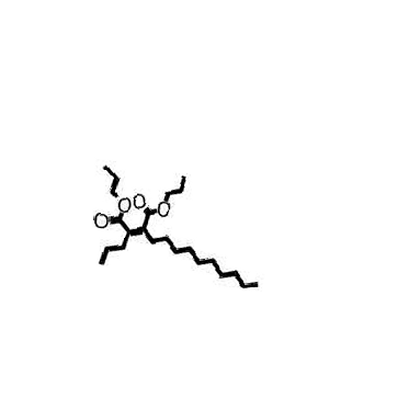 CCCCCCCCCC/C(C(=O)OCCC)=C(\CCC)C(=O)OCCC